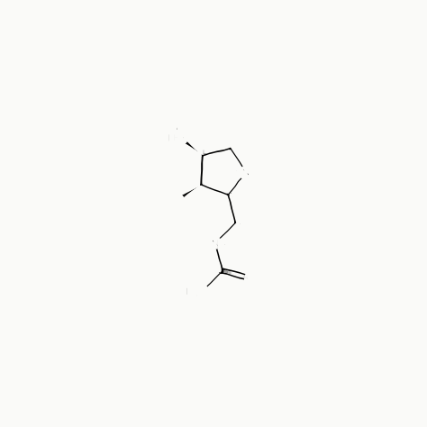 CC(=O)NCC1NC[C@H](O)[C@@H]1O